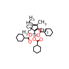 CC1=C(C)C(C)(C)[C]([Ti]([O]C(=O)C2CCCCC2)([O]C(=O)C2CCCCC2)[O]C(=O)C2CCCCC2)=C1C